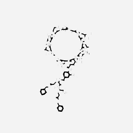 C=C(C[C@@H](C)[C@@H](O)[C@H]1C(=O)N[C@@H](CC)C(=O)N(C)CC(=O)N(C)[C@@H](CC(C)C)C(=O)N[C@@H](C(C)C)C(=O)N(C)[C@@H](CC(C)C)C(=O)N[C@@H](C)C(=O)N[C@H](C)C(=O)N(C)[C@@H](CC(C)C)C(=O)N(C)[C@@H](CC(C)C)C(=O)N(C)[C@@H](C(C)C)C(=O)N1C)Nc1ccc(C(=O)N[C@@H](CCC(=O)OCc2ccccc2)C(=O)N[C@@H](CCC(=O)OCc2ccccc2)C(N)=O)cc1N